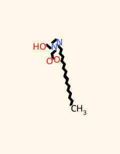 CCCCCCCCC=CCCCCCCCC1=NCC[N+]1(CCO)CCC(=O)[O-]